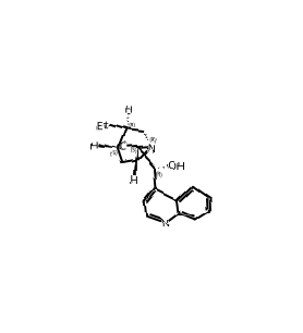 CC[C@H]1C[N@]2CC[C@H]1C[C@H]2[C@H](O)c1ccnc2ccccc12